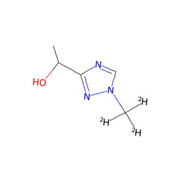 [2H]C([2H])([2H])n1cnc(C(C)O)n1